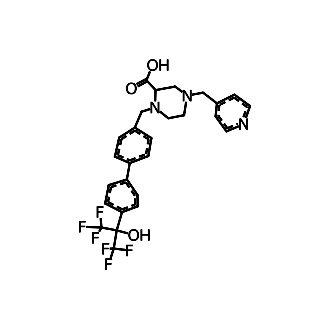 O=C(O)C1CN(Cc2ccncc2)CCN1Cc1ccc(-c2ccc(C(O)(C(F)(F)F)C(F)(F)F)cc2)cc1